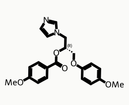 COc1ccc(OC[C@@H](Cn2ccnc2)OC(=O)c2ccc(OC)cc2)cc1